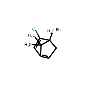 CC1(C)C2=CCC1(C)C(Cl)=C2.[Rh]